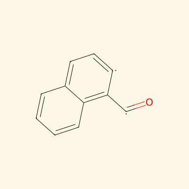 O=[C]c1[c]ccc2ccccc12